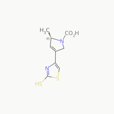 C[C@@H]1C=C(c2csc(S)n2)CN1C(=O)O